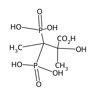 CC(O)(C(=O)O)C(C)(P(=O)(O)O)P(=O)(O)O